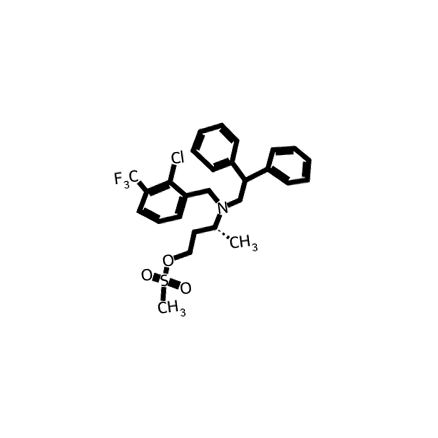 C[C@H](CCOS(C)(=O)=O)N(Cc1cccc(C(F)(F)F)c1Cl)CC(c1ccccc1)c1ccccc1